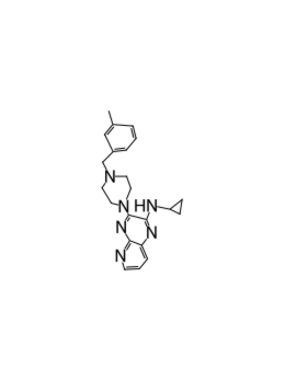 Cc1cccc(CN2CCN(c3nc4ncccc4nc3NC3CC3)CC2)c1